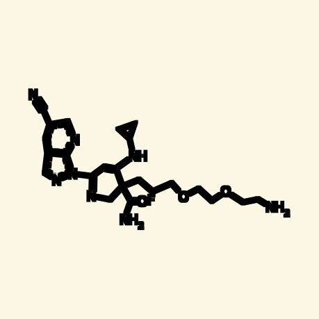 N#Cc1cnc2c(cnn2C2=NCC(CC(F)COCCOCCN)(C(N)=O)C(NC3CC3)=C2)c1